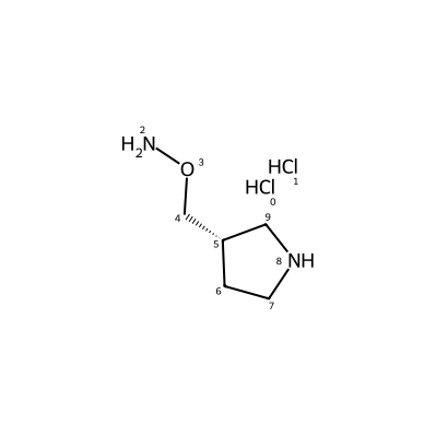 Cl.Cl.NOC[C@H]1CCNC1